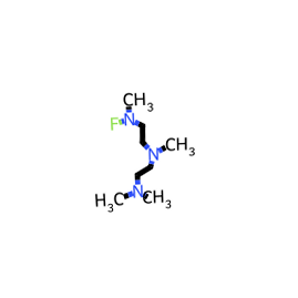 CN(C)CCN(C)CCN(C)F